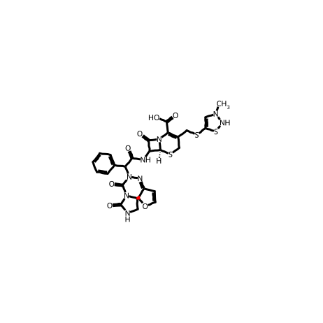 CN1C=C(SCC2=C(C(=O)O)N3C(=O)C(NC(=O)C(c4ccccc4)N(N=C4C=COC4)C(=O)N4CCNC4=O)[C@@H]3SC2)SN1